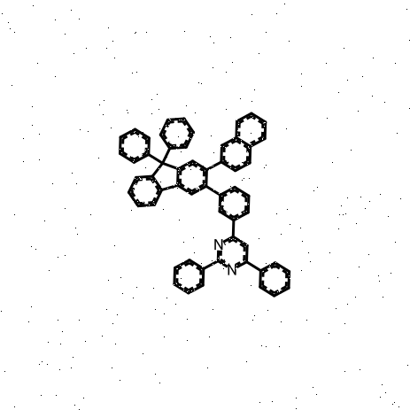 c1ccc(-c2cc(-c3cccc(-c4cc5c(cc4-c4ccc6ccccc6c4)C(c4ccccc4)(c4ccccc4)c4ccccc4-5)c3)nc(-c3ccccc3)n2)cc1